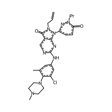 C=CCn1c(=O)c2cnc(Nc3cc(C)c(N4CCN(C)CC4)c(Cl)c3)nc2n1-c1ccc(=O)n(C(C)C)n1